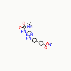 CN(C)OC(=O)c1ccc(-c2ccc(Nc3nccc(Nc4c(NC(C)(C)C)c(=O)c4=O)n3)cc2)cc1